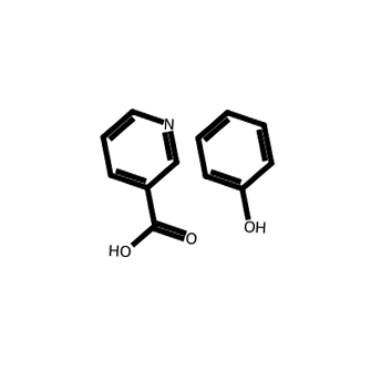 O=C(O)c1cccnc1.Oc1ccccc1